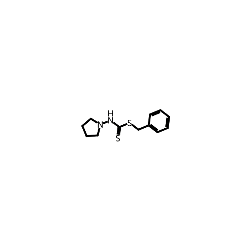 S=C(NN1CCCC1)SCc1ccccc1